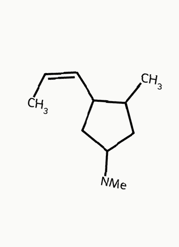 C/C=C\C1CC(NC)CC1C